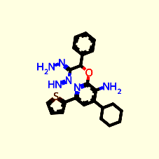 N=N/C(=N\N)C(Oc1nc(-c2cccs2)cc(C2CCCCC2)c1N)c1ccccc1